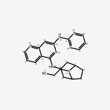 N#CCCN1C2CCC1CC(Nc1nc(Nc3ncccn3)cc3ncccc13)C2